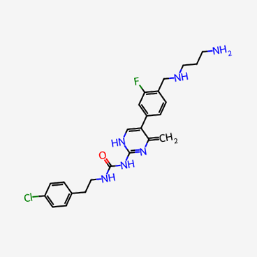 C=C1N=C(NC(=O)NCCc2ccc(Cl)cc2)NC=C1c1ccc(CNCCCN)c(F)c1